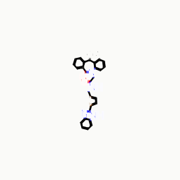 CC(=O)OC1c2ccccc2C(=O)N(CC(=O)NCc2ccc(-c3nc4ccccc4[nH]3)s2)c2ccccc21